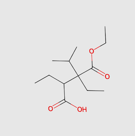 CCOC(=O)C(CC)(C(C)C)C(CC)C(=O)O